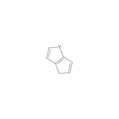 C1=C[C]2=C(C=[CH][Y]2)C1